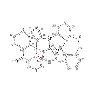 O=C1c2ccccc2C2(c3ccccc31)c1ccccc1N(c1cccc3c1C(=O)c1ccccc1CC3)c1ccccc12